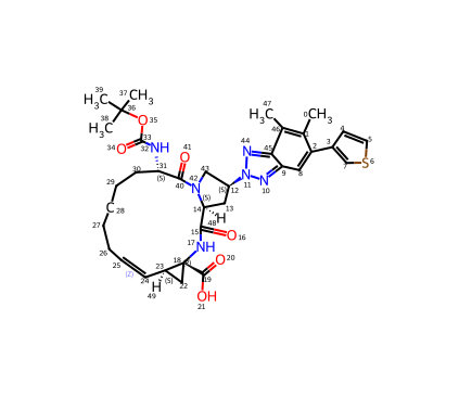 Cc1c(-c2ccsc2)cc2nn([C@H]3C[C@H]4C(=O)N[C@]5(C(=O)O)C[C@H]5/C=C\CCCCC[C@H](NC(=O)OC(C)(C)C)C(=O)N4C3)nc2c1C